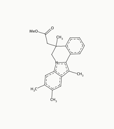 COC(=O)CC1(C)Cn2c(c(C)c3cc(C)c(C)cc32)-c2ccccc21